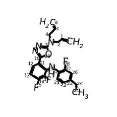 C=CCN(CC=C)c1nnc(-c2ccc(F)c(F)c2Nc2ccc(CC)cc2F)o1